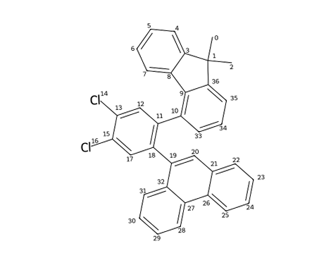 CC1(C)c2ccccc2-c2c(-c3cc(Cl)c(Cl)cc3-c3cc4ccccc4c4ccccc34)cccc21